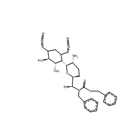 CC[C@@H]([C@@H]1CC[C@@H](N)[C@@H](C2C(N=[N+]=[N-])CC(N=[N+]=[N-])[C@H](OC(C)=O)[C@H]2OC(C)=O)O1)N(Cc1ccccc1)C(=O)OCc1ccccc1